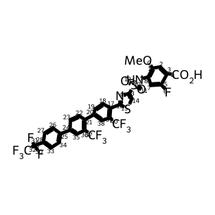 COc1cc(C(=O)O)c(F)cc1NS(=O)(=O)c1csc(-c2ccc(-c3ccc(-c4ccc(C(F)(F)C(F)(F)F)cc4)cc3C(F)(F)F)cc2C(F)(F)F)n1